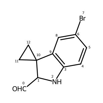 O=CC1Nc2ccc(Br)cc2C12CC2